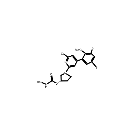 COc1c(Br)cc(F)cc1-c1cc(Cl)nc(N2CC[C@H](OC(=O)NC(C)(C)C)C2)c1